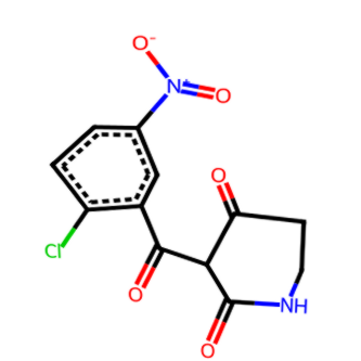 O=C1CCNC(=O)C1C(=O)c1cc([N+](=O)[O-])ccc1Cl